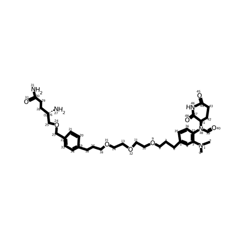 CN(C)c1cc(CCCOCCOCCOCCCc2ccc(COC[C@@H](N)CCC(N)=O)cc2)ccc1N(C=O)C1CCC(=O)NC1=O